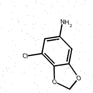 Nc1cc(Cl)c2c(c1)OCO2